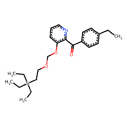 CCc1ccc(C(=O)c2ncccc2OCOCC[Si](CC)(CC)CC)cc1